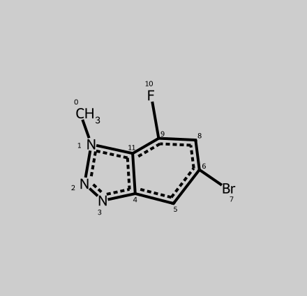 Cn1nnc2cc(Br)cc(F)c21